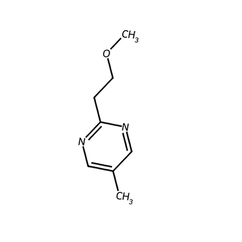 COCCc1ncc(C)cn1